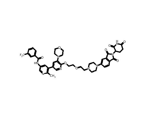 Cc1ncc(NC(=O)c2cccc(C(F)(F)F)c2)cc1-c1cnc(OCCOCCN2CCN(c3ccc4c(c3)C(=O)N(C3CCC(=O)NC3=O)C4=O)CC2)c(N2CCOCC2)c1